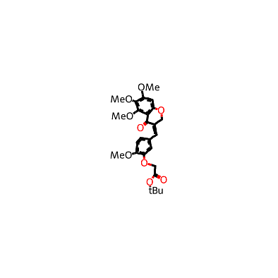 COc1ccc(C=C2COc3cc(OC)c(OC)c(OC)c3C2=O)cc1OCC(=O)OC(C)(C)C